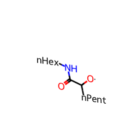 CCCCCCNC(=O)C([O])CCCCC